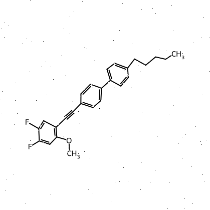 CCCCCc1ccc(-c2ccc(C#Cc3cc(F)c(F)cc3OC)cc2)cc1